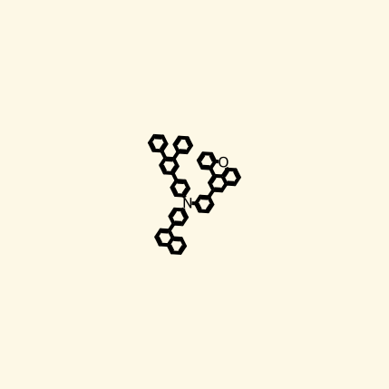 c1ccc(-c2ccc(-c3ccc(N(c4ccc(-c5cccc6ccccc56)cc4)c4cccc(-c5cc6c7c(cccc7c5)Oc5ccccc5-6)c4)cc3)cc2-c2ccccc2)cc1